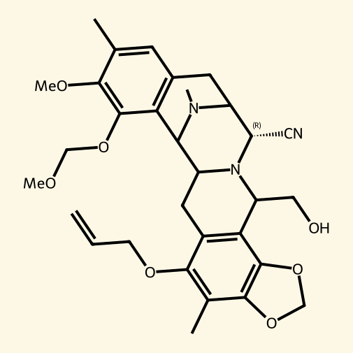 C=CCOc1c(C)c2c(c3c1CC1C4c5c(cc(C)c(OC)c5OCOC)CC([C@H](C#N)N1C3CO)N4C)OCO2